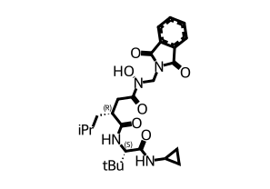 CC(C)C[C@H](CC(=O)N(O)CN1C(=O)c2ccccc2C1=O)C(=O)N[C@H](C(=O)NC1CC1)C(C)(C)C